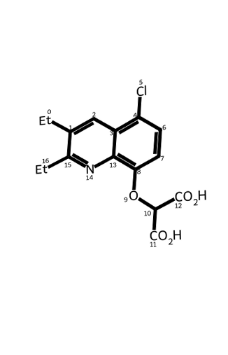 CCc1cc2c(Cl)ccc(OC(C(=O)O)C(=O)O)c2nc1CC